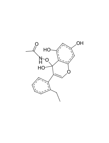 CCc1ccccc1C1=COc2cc(O)cc(O)c2C1(O)ONC(C)=O